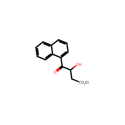 CCOC(=O)CC(O)C(=O)c1cccc2ccccc12